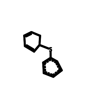 C1=CCC(Sc2ccccc2)C=C1